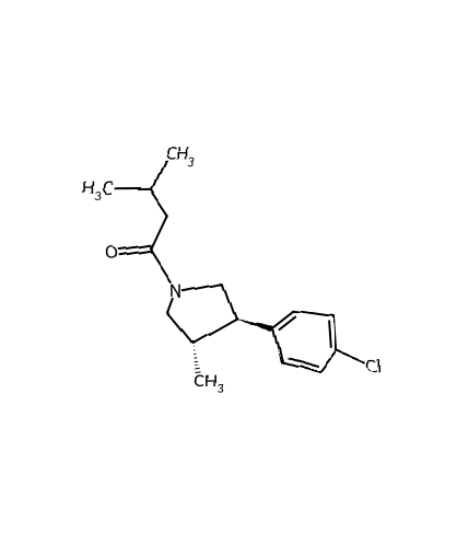 CC(C)CC(=O)N1C[C@@H](C)[C@H](c2ccc(Cl)cc2)C1